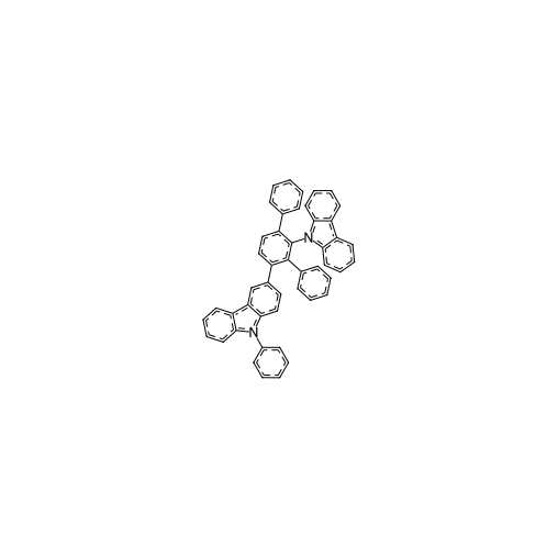 c1ccc(-c2ccc(-c3ccc4c(c3)c3ccccc3n4-c3ccccc3)c(-c3ccccc3)c2-n2c3ccccc3c3ccccc32)cc1